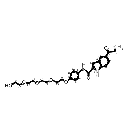 CCC(=O)c1ccc2[nH]c(C(=O)Nc3ccc(OCCOCCOCCOCCO)cc3)cc2c1